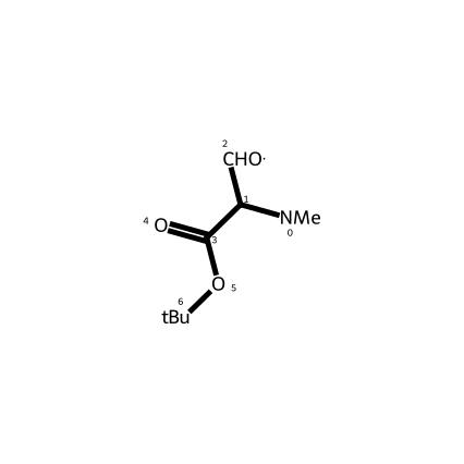 CNC([C]=O)C(=O)OC(C)(C)C